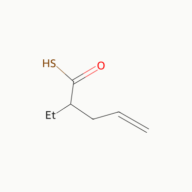 C=CCC(CC)C(=O)S